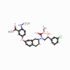 CCOC(=O)Nc1ccc(Oc2ccc3c(c2)C[C@@H](N(C[C@H](O)c2cccc(Cl)c2)C(=O)OC(C)(C)C)CC3)cc1C(=O)OC